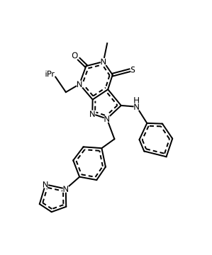 CC(C)Cn1c(=O)n(C)c(=S)c2c(Nc3ccccc3)n(Cc3ccc(-n4cccn4)cc3)nc21